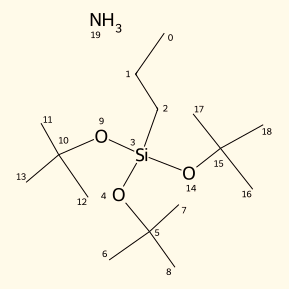 CCC[Si](OC(C)(C)C)(OC(C)(C)C)OC(C)(C)C.N